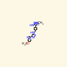 CN/C=C(\C(=N)N)c1ccc(CNc2cc(-c3cnc4cc(OC)ccn34)ncn2)cc1